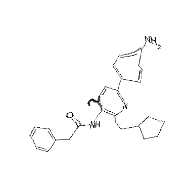 Nc1ccc(-c2cnc(NC(=O)Cc3ccccc3)c(CC3CCCC3)n2)cc1